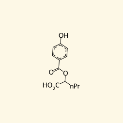 CCCC(OC(=O)c1ccc(O)cc1)C(=O)O